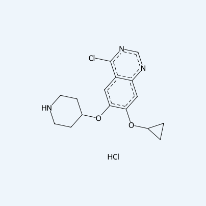 Cl.Clc1ncnc2cc(OC3CC3)c(OC3CCNCC3)cc12